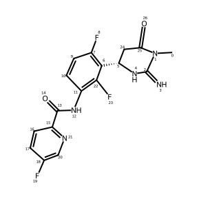 CN1C(=N)N[C@H](c2c(F)ccc(NC(=O)c3ccc(F)cn3)c2F)CC1=O